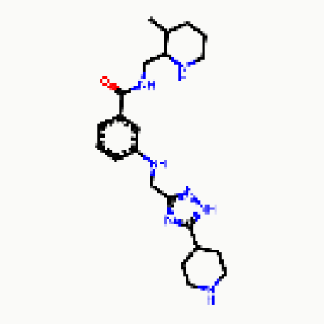 CC1CCCNC1CNC(=O)c1cccc(NCc2n[nH]c(C3CCNCC3)n2)c1